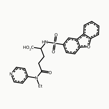 CCN(C(=O)CCC(NS(=O)(=O)c1ccc2oc3ccccc3c2c1)C(=O)O)c1ccncc1